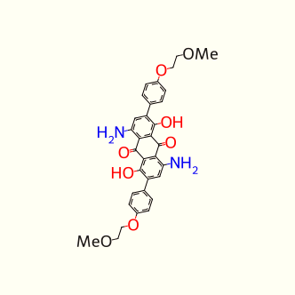 COCCOc1ccc(-c2cc(N)c3c(c2O)C(=O)c2c(N)cc(-c4ccc(OCCOC)cc4)c(O)c2C3=O)cc1